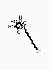 CCCCCCCCCCCCOO[C@]1(CC)O[C@H](CO)[C@@H](O)[C@H](O)[C@H]1O